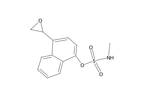 CNS(=O)(=O)Oc1ccc(C2CO2)c2ccccc12